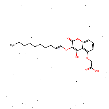 CCCCCCCC/C=C/Oc1c(O)c2c(OCC(=O)O)cccc2oc1=O